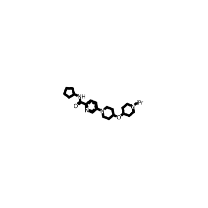 CC(C)N1CCC(OC2CCN(c3ccc(C(=O)NC4CCCC4)nc3)CC2)CC1